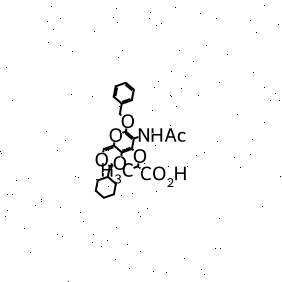 CC(=O)NC1=C(OCc2ccccc2)OC2=COC(C3CCCCC3)OC2=C1O[C@H](C)C(=O)O